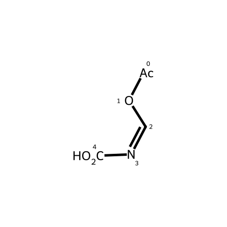 CC(=O)O/C=N\C(=O)O